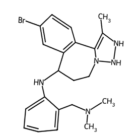 CC1=C2c3ccc(Br)cc3C(Nc3ccccc3CN(C)C)CCN2NN1